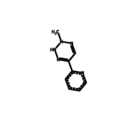 CN1N=CC(c2ccccn2)=NN1